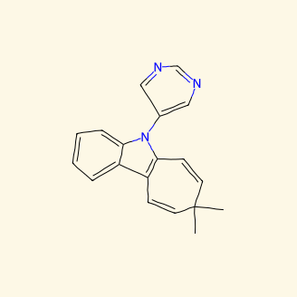 CC1(C)C=Cc2c(n(-c3cncnc3)c3ccccc23)C=C1